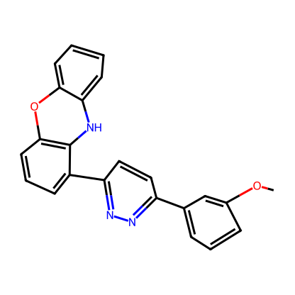 COc1cccc(-c2ccc(-c3cccc4c3Nc3ccccc3O4)nn2)c1